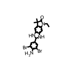 CCN1C(=O)C(C)(C)c2cc3c(cc21)NC(c1cc(Br)c(N)c(Br)c1)N3